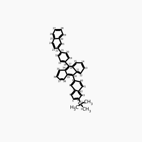 C[Si](C)(C)c1ccc2cc(-c3c4ccccc4c(-c4ccc(-c5ccc6ccccc6c5)cc4)c4ccccc34)ccc2c1